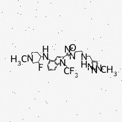 CN1CC[C@@H](Nc2cccc3c2cc(-c2noc(CNCc4cn(C)nn4)n2)n3CC(F)(F)F)[C@@H](F)C1